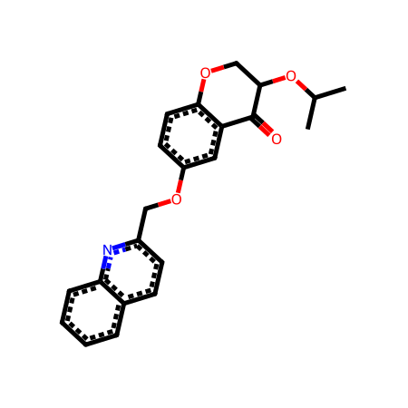 CC(C)OC1COc2ccc(OCc3ccc4ccccc4n3)cc2C1=O